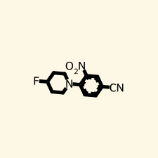 N#Cc1ccc(N2CCC(F)CC2)c([N+](=O)[O-])c1